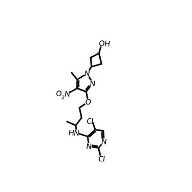 Cc1c([N+](=O)[O-])c(OCCC(C)Nc2nc(Cl)ncc2Cl)nn1C1CC(O)C1